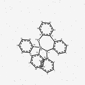 c1ccc(N2c3ccccc3-c3ccccc3O[Si]2(c2ccccc2)c2ccccc2)cc1